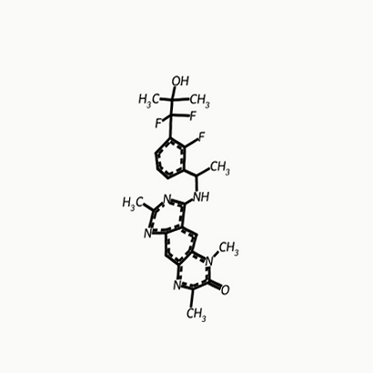 Cc1nc(NC(C)c2cccc(C(F)(F)C(C)(C)O)c2F)c2cc3c(cc2n1)nc(C)c(=O)n3C